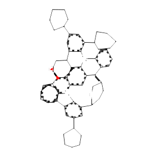 O=c1c2ccccc2n2c3cc4c(cc13)N(c1c(C3CCCCC3)cc(C3CCCCC3)cc1C1CCCCC1)c1ccccc1C4=C1CCC(CC1)c1cc(C3CCCCC3)cc(C3CCCCC3)c1-2